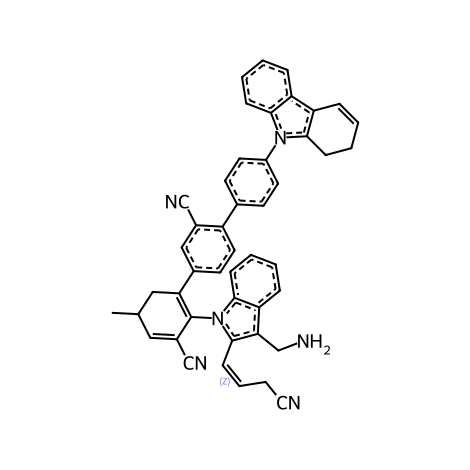 CC1C=C(C#N)C(n2c(/C=C\CC#N)c(CN)c3ccccc32)=C(c2ccc(-c3ccc(-n4c5c(c6ccccc64)C=CCC5)cc3)c(C#N)c2)C1